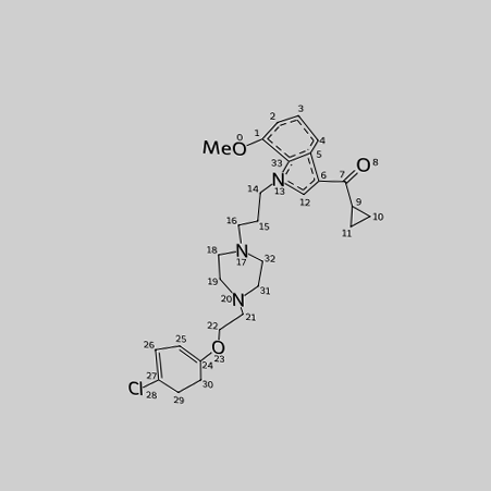 COc1cccc2c(C(=O)C3CC3)cn(CCCN3CCN(CCOC4=CC=C(Cl)CC4)CC3)c12